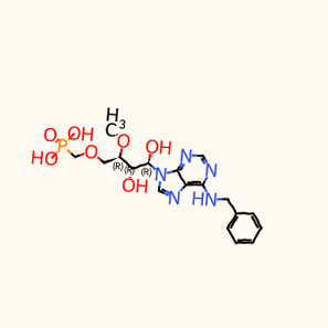 CO[C@H](COCP(=O)(O)O)[C@@H](O)[C@@H](O)n1cnc2c(NCc3ccccc3)ncnc21